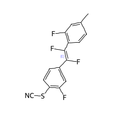 Cc1ccc(/C(F)=C(\F)c2ccc(SC#N)c(F)c2)c(F)c1